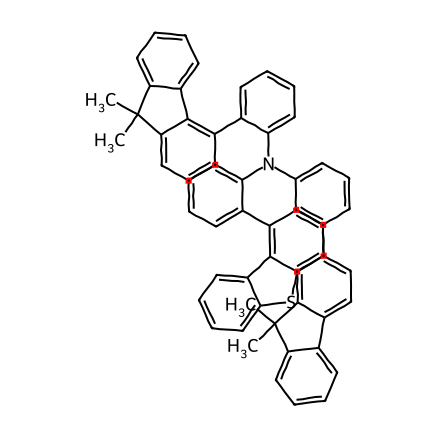 CC1(C)c2ccccc2-c2ccc(-c3cccc(N(c4ccccc4-c4cccc5c4-c4ccccc4C5(C)C)c4ccccc4-c4cccc5sc6ccccc6c45)c3)cc21